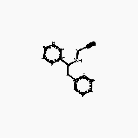 C#CCNC(Cc1ccccc1)c1ccccc1